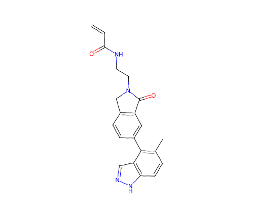 C=CC(=O)NCCN1Cc2ccc(-c3c(C)ccc4[nH]ncc34)cc2C1=O